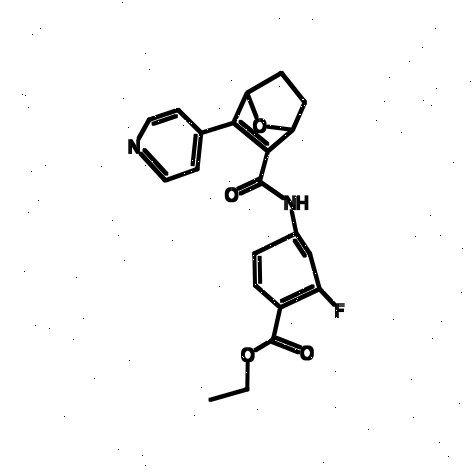 CCOC(=O)c1ccc(NC(=O)C2=C(c3ccncc3)C3CCC2O3)cc1F